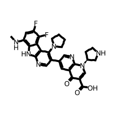 CNc1cc(F)c(F)c2c1[nH]c1ncc(-c3cnc4c(c3)c(=O)c(C(=O)O)cn4[C@H]3CCNC3)c(N3CCCC3)c12